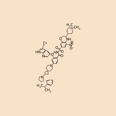 CC(C)c1ccccc1[C@@H]1CCCN1C1CC2(CCN(c3ccc(C(=O)NS(=O)(=O)c4cc5c(c([N+](=O)[O-])c4)NC(C4CCC(C)(C)CC4)CO5)c(Oc4cnc5[nH]cc(C6CC6)c5c4)c3)CC2)C1